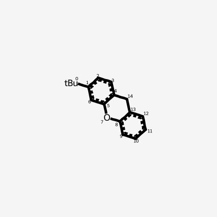 CC(C)(C)c1ccc2c(c1)Oc1ccccc1C2